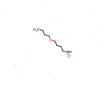 CCCCOCCC[CH2][AlH][Cl]